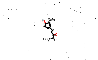 COc1cc(CCC(=O)C(C(C)=O)C(=O)O)ccc1O